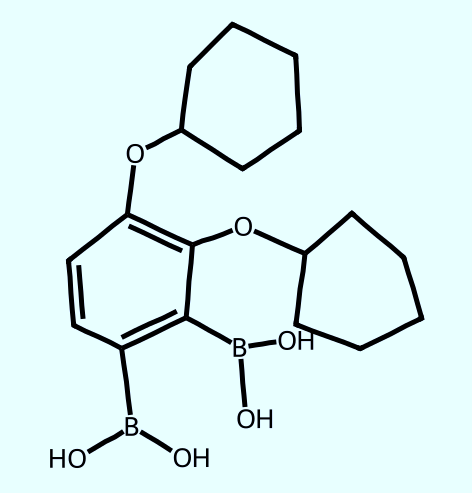 OB(O)c1ccc(OC2CCCCC2)c(OC2CCCCC2)c1B(O)O